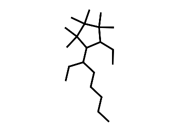 CCCCCC(CC)C1C(CC)C(C)(C)C(C)(C)C1(C)C